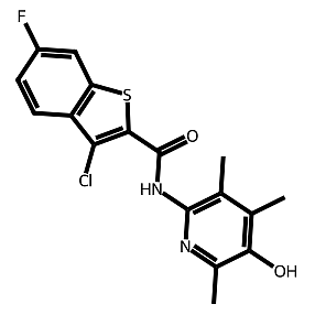 Cc1nc(NC(=O)c2sc3cc(F)ccc3c2Cl)c(C)c(C)c1O